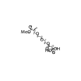 C=C(COCCOCCOC(=O)CP(=O)(O)O)C(=O)OC